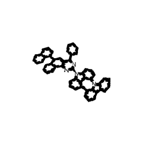 c1ccc(-c2nc(-n3c4cccc5c6cccc7c8ccccc8n(c8cccc3c8c54)c67)nc3c2cc(-c2cccc4ccccc24)c2ccccc23)cc1